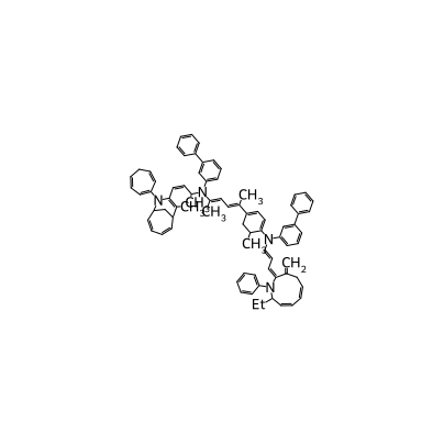 C=C1C/C=C\C=C/C(CC)N(c2ccccc2)/C1=C/C=C/N(C1=CC=C(/C(C)=C/C=C(\C)N(c2cccc(-c3ccccc3)c2)C(C)/C=C\C2=C(C)C3C=CC=CC(C3)N2C2=CC=CCC=C2)CC1C)c1cccc(-c2ccccc2)c1